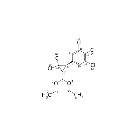 CCOC(OCC)[C@H]1[C@H](c2cc(Cl)c(Cl)c(Cl)c2)C1(Cl)Cl